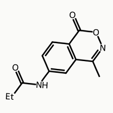 CCC(=O)Nc1ccc2c(=O)onc(C)c2c1